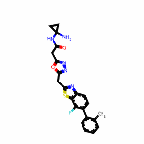 NC1(NC(=O)Cc2nnc(Cc3nc4ccc(-c5ccccc5C(F)(F)F)c(F)c4s3)o2)CC1